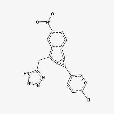 O=[N+]([O-])c1ccc2c3c(-c4ccc(Cl)cc4)c-3c(Cc3nnn[nH]3)c2c1